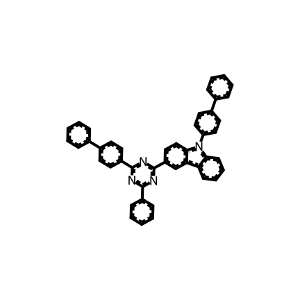 c1ccc(-c2ccc(-c3nc(-c4ccccc4)nc(-c4ccc5c(c4)c4ccccc4n5-c4ccc(-c5ccccc5)cc4)n3)cc2)cc1